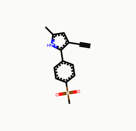 C#Cc1cc(C)[nH]c1-c1ccc(S(C)(=O)=O)cc1